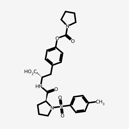 Cc1ccc(S(=O)(=O)N2CCC[C@H]2C(=O)N[C@@H](Cc2ccc(OC(=O)N3CCCC3)cc2)C(=O)O)cc1